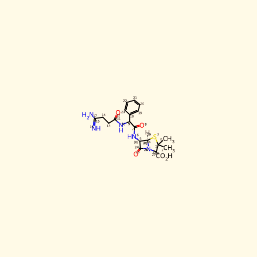 CC1(C)S[C@@H]2[C@H](NC(=O)C(NC(=O)CCC(=N)N)c3ccccc3)C(=O)N2[C@H]1C(=O)O